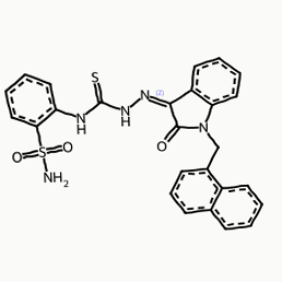 NS(=O)(=O)c1ccccc1NC(=S)N/N=C1\C(=O)N(Cc2cccc3ccccc23)c2ccccc21